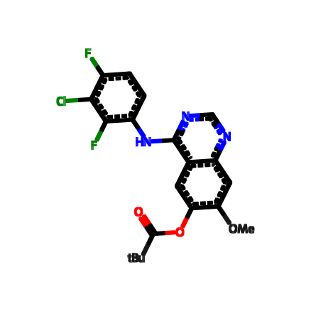 COc1cc2ncnc(Nc3ccc(F)c(Cl)c3F)c2cc1OC(=O)C(C)(C)C